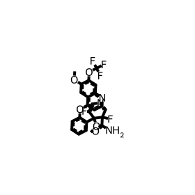 COc1cc2c(Oc3ccccc3C3(OC)C(F)=CN=CC3(F)C(N)=O)ccnc2cc1OC(F)(F)F